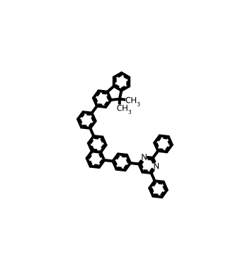 CC1(C)c2ccccc2-c2ccc(-c3cccc(-c4ccc5c(-c6ccc(-c7cc(-c8ccccc8)nc(-c8ccccc8)n7)cc6)cccc5c4)c3)cc21